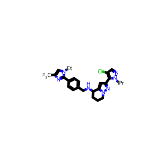 CCn1cc(C(F)(F)F)nc1-c1ccc(CNC2CCCn3nc(-c4c(Cl)cnn4C(C)C)cc32)cc1